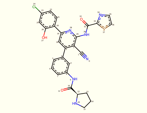 N#Cc1c(-c2cccc(NC(=O)[C@H]3CCCN3)c2)cc(-c2ccc(Cl)cc2O)nc1NC(=O)c1nccs1